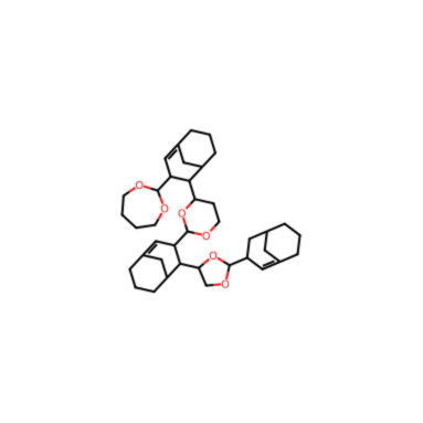 C1=C2CCCC(C2)CC1C1OCC(C2C3CCCC(=CC2C2OCCC(C4C5CCCC(=CC4C4OCCCCO4)C5)O2)C3)O1